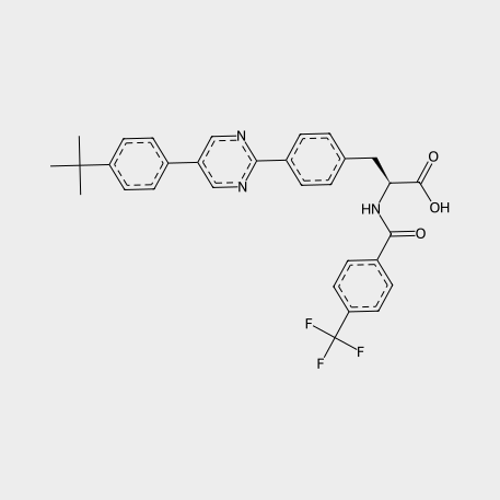 CC(C)(C)c1ccc(-c2cnc(-c3ccc(C[C@H](NC(=O)c4ccc(C(F)(F)F)cc4)C(=O)O)cc3)nc2)cc1